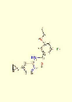 CCOc1cc(F)cc(C(=O)Nc2cc(C3CC3)ccn2)c1